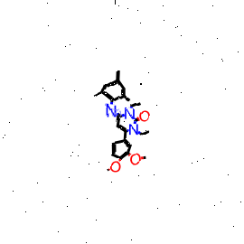 CCn1c(-c2ccc(OC)c(OC)c2)c/c(=N/c2c(C)cc(C)cc2C)n(CC)c1=O